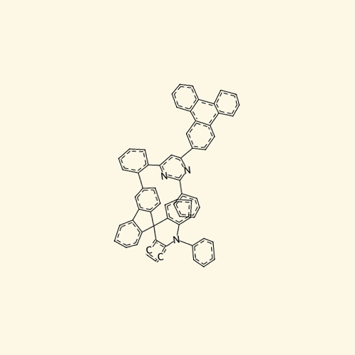 c1ccc(-c2nc(-c3ccc4c5ccccc5c5ccccc5c4c3)cc(-c3ccccc3-c3ccc4c(c3)-c3ccccc3C43c4ccccc4N(c4ccccc4)c4ccccc43)n2)cc1